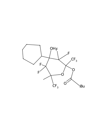 CCC(C)C(=O)OC1(C(F)(F)F)OC(C)(C(F)(F)F)C(F)(F)C(O)(C2CCCCC2)C1(F)F